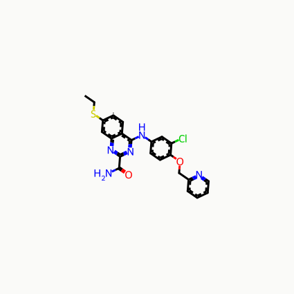 CCSc1[c]cc2c(Nc3ccc(OCc4ccccn4)c(Cl)c3)nc(C(N)=O)nc2c1